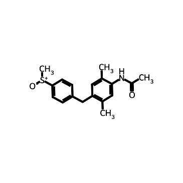 CC(=O)Nc1cc(C)c(Cc2ccc([S+](C)[O-])cc2)cc1C